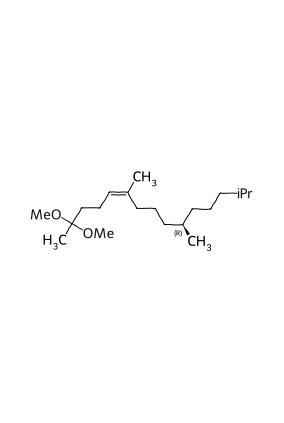 COC(C)(CCC=C(C)CCC[C@H](C)CCCC(C)C)OC